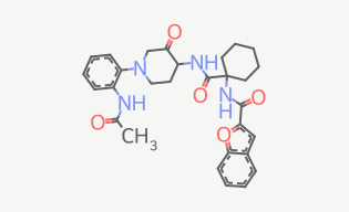 CC(=O)Nc1ccccc1N1CCC(NC(=O)C2(NC(=O)c3cc4ccccc4o3)CCCCC2)C(=O)C1